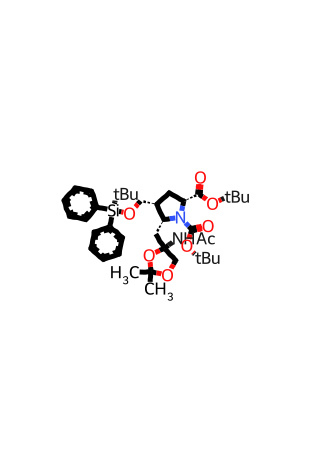 CC(=O)NC1(C[C@@H]2[C@H](CO[Si](c3ccccc3)(c3ccccc3)C(C)(C)C)C[C@H](C(=O)OC(C)(C)C)N2C(=O)OC(C)(C)C)COC(C)(C)O1